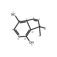 CC1(C)C=Cc2c(C#N)cnc(O)c21